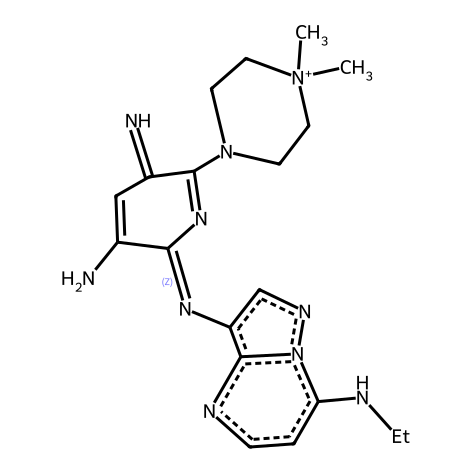 CCNc1ccnc2c(/N=C3\N=C(N4CC[N+](C)(C)CC4)C(=N)C=C3N)cnn12